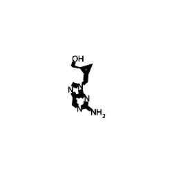 Nc1ncc2ncn(/C=C3/C[C@@H]3CO)c2n1